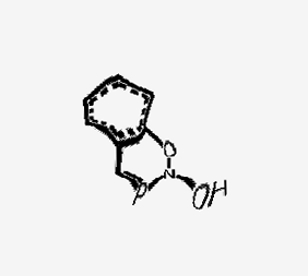 ON1Oc2ccccc2C=P1